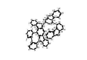 c1ccc2c(c1)-c1ccccc1-n1c3ccccc3c3cc4c(c-2c31)c1ccccc1n4-c1nc(-c2cccc3sc4ccccc4c23)c2c(n1)sc1ccccc12